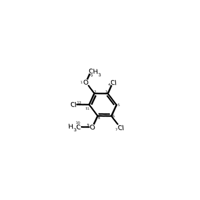 COc1c(Cl)[c]c(Cl)c(OC)c1Cl